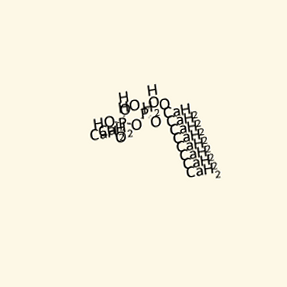 O.O=P(O)(O)OP(=O)(O)O.[CaH2].[CaH2].[CaH2].[CaH2].[CaH2].[CaH2].[CaH2].[CaH2].[CaH2].[CaH2]